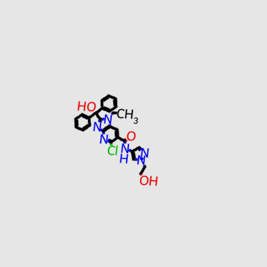 CCn1c(C(O)(c2ccccc2)c2ccccc2)nc2nc(Cl)c(C(=O)Nc3cnn(CCO)c3)cc21